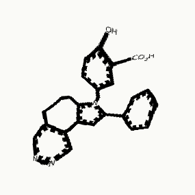 O=C(O)c1cc(-n2c(-c3ccccc3)cc3c2CCc2cnncc2-3)ccc1O